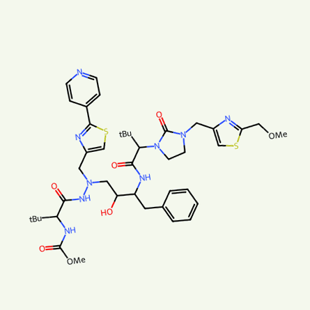 COCc1nc(CN2CCN(C(C(=O)NC(Cc3ccccc3)C(O)CN(Cc3csc(-c4ccncc4)n3)NC(=O)C(NC(=O)OC)C(C)(C)C)C(C)(C)C)C2=O)cs1